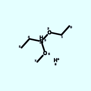 CCO[SiH](CC)OC.[H+]